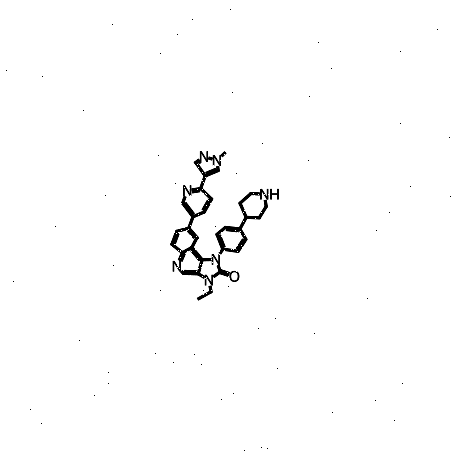 CCn1c(=O)n(-c2ccc(C3CCNCC3)cc2)c2c3cc(-c4ccc(-c5cnn(C)c5)nc4)ccc3ncc21